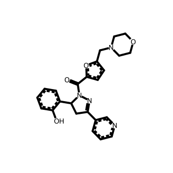 O=C(c1ccc(CN2CCOCC2)o1)N1N=C(c2cccnc2)CC1c1ccccc1O